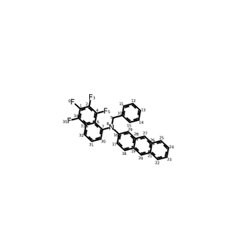 Fc1c(F)c(F)c2c(N(Cc3ccccc3)c3ccc4cc5ccccc5cc4c3)cccc2c1F